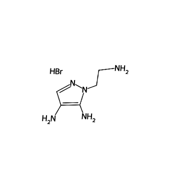 Br.NCCn1ncc(N)c1N